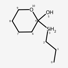 CCC[SiH2]C1(O)CCCCO1